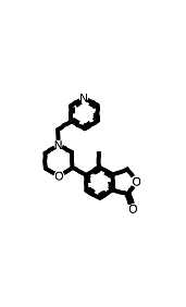 Cc1c(C2CN(Cc3cccnc3)CCO2)ccc2c1COC2=O